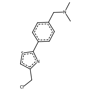 CN(C)Cc1ccc(-c2nc(CCl)cs2)cc1